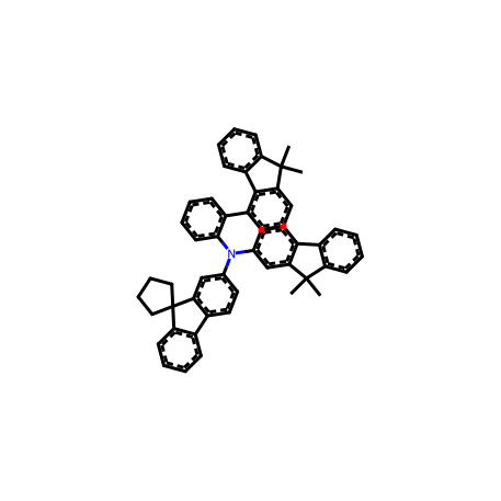 CC1(C)c2ccccc2-c2ccc(N(c3ccc4c(c3)C3(CCCC3)c3ccccc3-4)c3ccccc3-c3cccc4c3-c3ccccc3C4(C)C)cc21